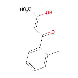 Cc1ccccc1C(=O)/C=C(\O)C(=O)O